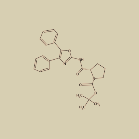 CC(C)(C)OC(=O)N1CCC[C@H]1C(=O)Nc1nc(-c2ccccc2)c(-c2ccccc2)o1